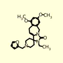 CCN1C(=O)N2Cc3cc(OC)cc(OC)c3CC=C2C12CCN(Cc1ccco1)CC2